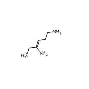 CC/C(N)=C/CCN